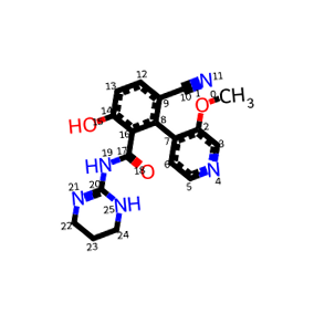 COc1cnccc1-c1c(C#N)ccc(O)c1C(=O)NC1=NCCCN1